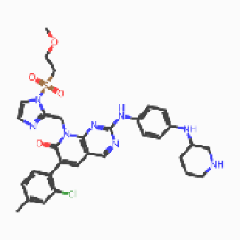 COCCS(=O)(=O)n1ccnc1Cn1c(=O)c(-c2ccc(C)cc2Cl)cc2cnc(Nc3ccc(NC4CCCNC4)cc3)nc21